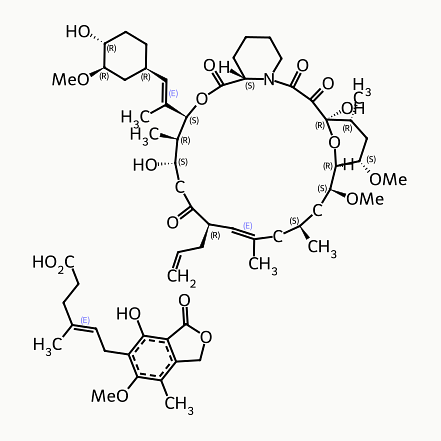 C=CC[C@@H]1/C=C(\C)C[C@H](C)C[C@H](OC)[C@H]2O[C@@](O)(C(=O)C(=O)N3CCCC[C@H]3C(=O)O[C@H](/C(C)=C/[C@@H]3CC[C@@H](O)[C@H](OC)C3)[C@H](C)[C@@H](O)CC1=O)[C@H](C)C[C@@H]2OC.COc1c(C)c2c(c(O)c1C/C=C(\C)CCC(=O)O)C(=O)OC2